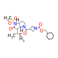 CC(C)C1C(=O)N(S(C)(=O)=O)[C@H]2CCN(C(=O)C3CN(C(=O)OCc4ccccc4)C3)[C@H]12